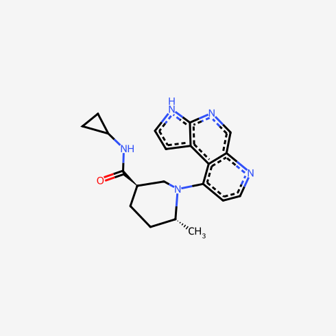 C[C@@H]1CC[C@@H](C(=O)NC2CC2)CN1c1ccnc2cnc3[nH]ccc3c12